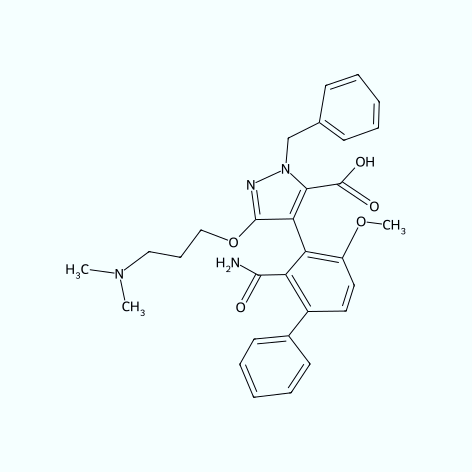 COc1ccc(-c2ccccc2)c(C(N)=O)c1-c1c(OCCCN(C)C)nn(Cc2ccccc2)c1C(=O)O